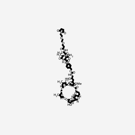 C=C1C[C@@H]2CC[C@@]34CO[C@@H]5C[C@@H](O[C@H]6CC[C@H](CC(=O)C[C@H]7[C@H](CC8O[C@@H](CCC1O2)C[C@@H](C)C8=C)OC(C[C@H](O)CNC(=O)OCc1ccc(NC(=O)C(CC(N)=O)NC(=O)[C@H](C)NC(=O)[C@H](C)NC(=O)CCOCCOCCN2C(=O)C=CC2=O)cc1)[C@@H]7OC)O[C@@H]65)[C@@H](O3)[C@H](O)C4